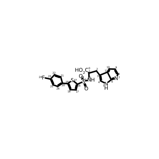 O=C(O)[C@@H](Cc1c[nH]c2ncccc12)NS(=O)(=O)c1ccc(-c2ccc(F)cc2)s1